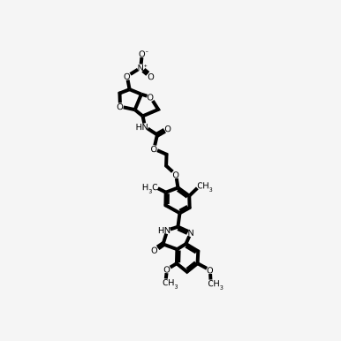 COc1cc(OC)c2c(=O)[nH]c(-c3cc(C)c(OCCOC(=O)NC4COC5C(O[N+](=O)[O-])COC45)c(C)c3)nc2c1